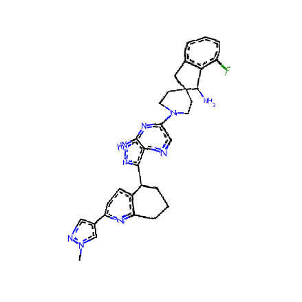 Cn1cc(-c2ccc3c(n2)CCCC3c2n[nH]c3nc(N4CCC5(CC4)Cc4cccc(F)c4[C@H]5N)cnc23)cn1